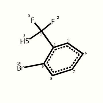 FC(F)(S)c1ccccc1Br